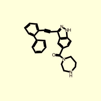 O=C(c1ccc2[nH]nc(C#Cc3ccccc3-c3ccccc3)c2c1)N1CCCNCC1